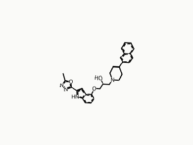 Cc1nnc(-c2cc3c(OC[C@@H](O)CN4CCC(c5ccc6ccccc6c5)CC4)cccc3[nH]2)o1